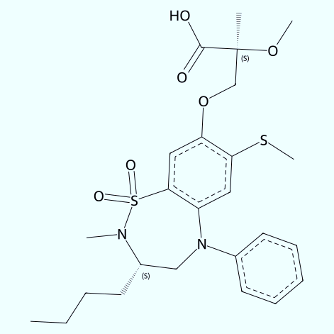 CCCC[C@H]1CN(c2ccccc2)c2cc(SC)c(OC[C@](C)(OC)C(=O)O)cc2S(=O)(=O)N1C